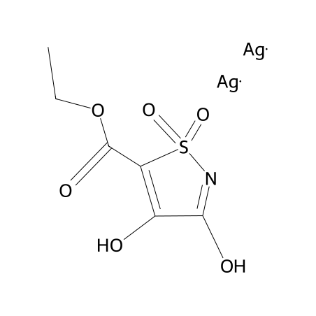 CCOC(=O)C1=C(O)C(O)=NS1(=O)=O.[Ag].[Ag]